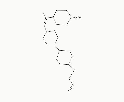 C=CCCC1CCC(C2CCC(C=C(C)C3CCC(CCC)CC3)CC2)CC1